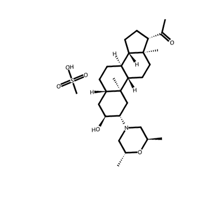 CC(=O)[C@H]1CC[C@H]2[C@@H]3CC[C@H]4C[C@H](O)[C@@H](N5C[C@@H](C)O[C@H](C)C5)C[C@]4(C)[C@H]3CC[C@]12C.CS(=O)(=O)O